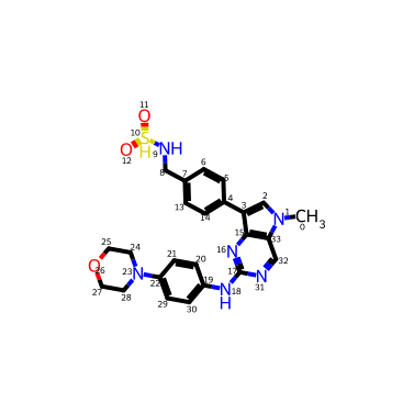 Cn1cc(-c2ccc(CN[SH](=O)=O)cc2)c2nc(Nc3ccc(N4CCOCC4)cc3)ncc21